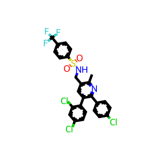 Cc1nc(-c2ccc(Cl)cc2)c(-c2ccc(Cl)cc2Cl)cc1CNS(=O)(=O)c1ccc(C(F)(F)F)cc1